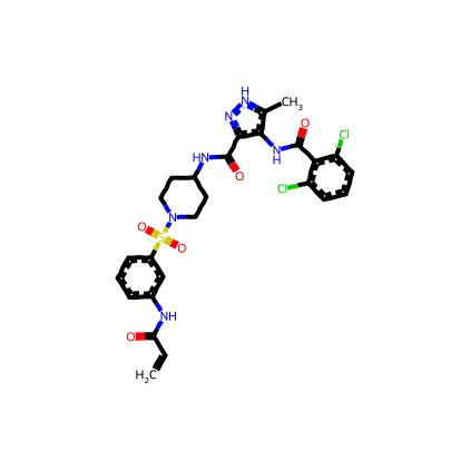 C=CC(=O)Nc1cccc(S(=O)(=O)N2CCC(NC(=O)c3n[nH]c(C)c3NC(=O)c3c(Cl)cccc3Cl)CC2)c1